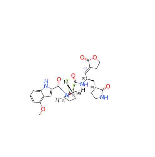 COc1cccc2[nH]c(C(=O)N3[C@@H]4CC[C@H]([C@H]3C(=O)N[C@@H](/C=C3\CCOC3=O)C[C@H]3CCNC3=O)C(F)(F)C4)cc12